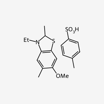 CCN1c2cc(C)c(OC)cc2SC1C.Cc1ccc(S(=O)(=O)O)cc1